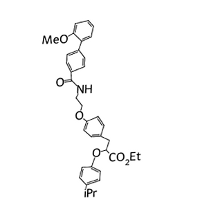 CCOC(=O)C(Cc1ccc(OCCNC(=O)c2ccc(-c3ccccc3OC)cc2)cc1)Oc1ccc(C(C)C)cc1